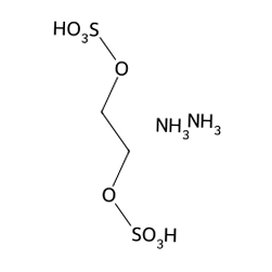 N.N.O=S(=O)(O)OCCOS(=O)(=O)O